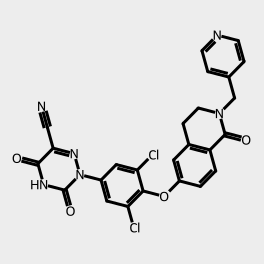 N#Cc1nn(-c2cc(Cl)c(Oc3ccc4c(c3)CCN(Cc3ccncc3)C4=O)c(Cl)c2)c(=O)[nH]c1=O